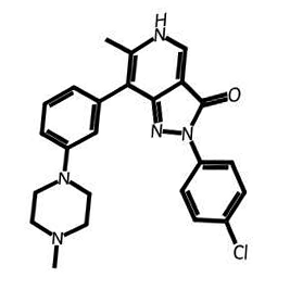 Cc1[nH]cc2c(=O)n(-c3ccc(Cl)cc3)nc-2c1-c1cccc(N2CCN(C)CC2)c1